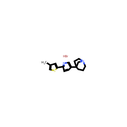 Br.Cc1csc(-c2ccc(C34CCCN(CC3)C4)cn2)c1